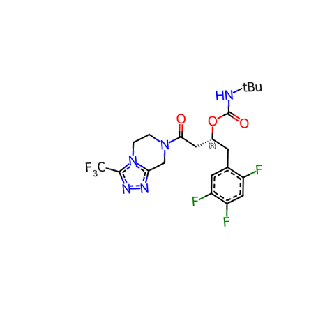 CC(C)(C)NC(=O)O[C@@H](CC(=O)N1CCn2c(nnc2C(F)(F)F)C1)Cc1cc(F)c(F)cc1F